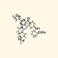 COC1COCCC1NC1CCN(C(=O)c2nc(-c3cc(C)on3)nc(N3CCc4cc(C(C)(F)F)ccc4C3)c2C)CC1